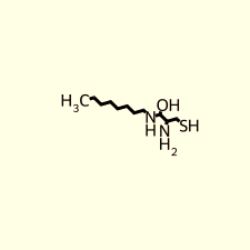 CCCCCCCCNC(O)C(N)CS